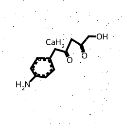 Nc1ccc(CC(=O)CC(=O)CO)cc1.[CaH2]